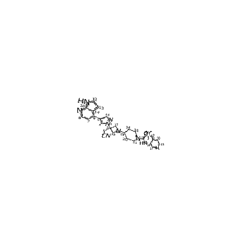 N#CCC1(n2cc(-c3ccnc4[nH]ccc34)cn2)CN(C2CCN(C(=O)Nc3cnccc3C(F)(F)F)CC2)C1